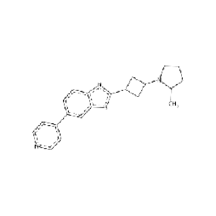 CC1CCCN1C1CC(c2nc3ccc(-c4ccncc4)cc3s2)C1